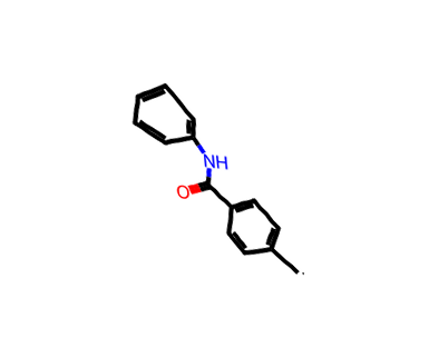 [CH2]c1ccc(C(=O)Nc2ccccc2)cc1